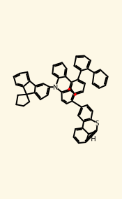 C1=CC2=C3Sc4ccc(-c5ccc(N(c6ccc7c(c6)-c6ccccc6C76CCCC6)c6ccccc6-c6ccccc6-c6ccccc6-c6ccccc6)cc5)cc4C(=C1)[C@H]23